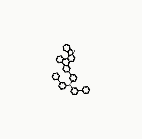 c1ccc(-c2cccc(N(c3cccc(-c4ccccc4)c3)c3cccc(-c4ccc5c6ccccc6c6c(ccc7oc8ccccc8c76)c5c4)c3)c2)cc1